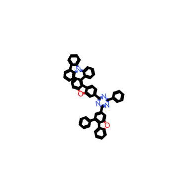 c1ccc(-c2nc(-c3ccc4c(c3)oc3cccc(-c5ccccc5-n5c6ccccc6c6ccccc65)c34)nc(-c3cc(-c4ccccc4)c4c(c3)oc3ccccc34)n2)cc1